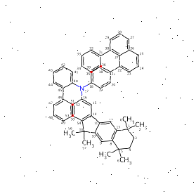 CC1(C)CCC(C)(C)c2cc3c(cc21)-c1cc(N(c2ccc(-c4cccc5cccc(-c6ccccc6)c45)cc2)c2ccccc2-c2ccccc2)ccc1C3(C)C